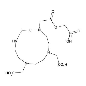 O=C(O)CN1CCNCCN(CC(=O)OC[PH](=O)O)CCN(CC(=O)O)CC1